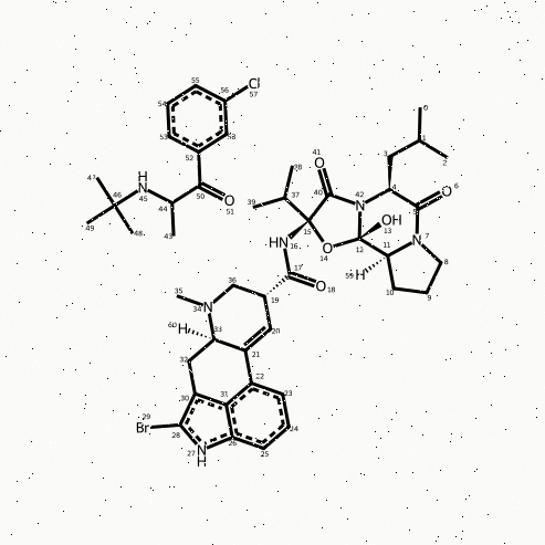 CC(C)C[C@H]1C(=O)N2CCC[C@H]2[C@]2(O)O[C@](NC(=O)[C@@H]3C=C4c5cccc6[nH]c(Br)c(c56)C[C@H]4N(C)C3)(C(C)C)C(=O)N12.CC(NC(C)(C)C)C(=O)c1cccc(Cl)c1